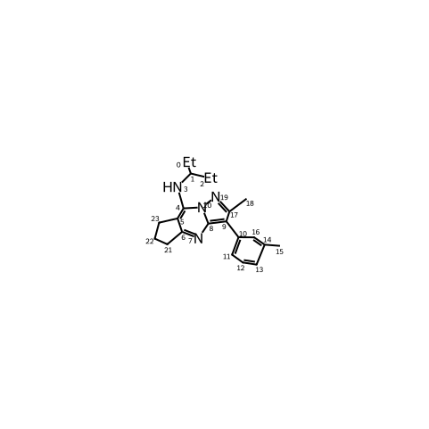 CCC(CC)Nc1c2c(nc3c(-c4cccc(C)c4)c(C)nn13)CCC2